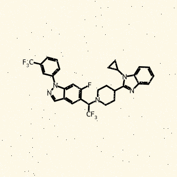 Fc1cc2c(cnn2-c2cccc(C(F)(F)F)c2)cc1C(N1CCC(c2nc3ccccc3n2C2CC2)CC1)C(F)(F)F